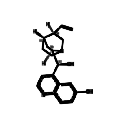 C=C[C@H]1CN2CC[C@H]1C[C@@H]2[C@@H](O)c1ccnc2ccc(O)cc12